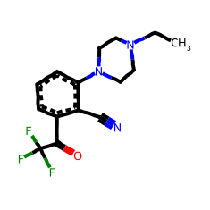 CCN1CCN(c2cccc(C(=O)C(F)(F)F)c2C#N)CC1